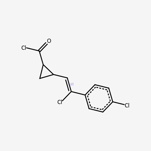 O=C(Cl)C1CC1/C=C(\Cl)c1ccc(Cl)cc1